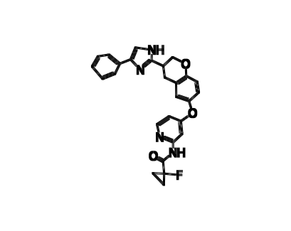 O=C(Nc1cc(Oc2ccc3c(c2)CC(c2nc(-c4ccccc4)c[nH]2)CO3)ccn1)C1(F)CC1